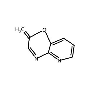 C=C1C=Nc2ncccc2O1